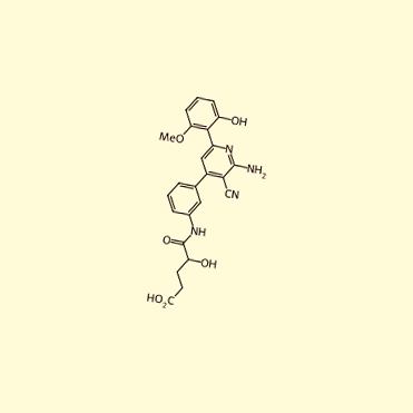 COc1cccc(O)c1-c1cc(-c2cccc(NC(=O)C(O)CCC(=O)O)c2)c(C#N)c(N)n1